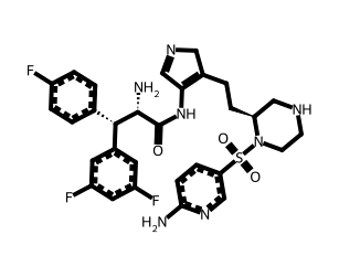 Nc1ccc(S(=O)(=O)N2CCNC[C@@H]2CCC2=C(NC(=O)[C@@H](N)[C@@H](c3ccc(F)cc3)c3cc(F)cc(F)c3)C=NC2)cn1